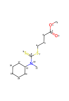 COC(=O)CCCSC(=S)N(C)C1CCCCC1